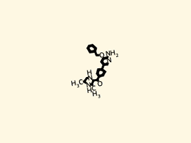 CC1CNC(C(=O)c2ccc(-c3cnc(N)c(OCc4ccccc4)c3)cc2)C(C)N1